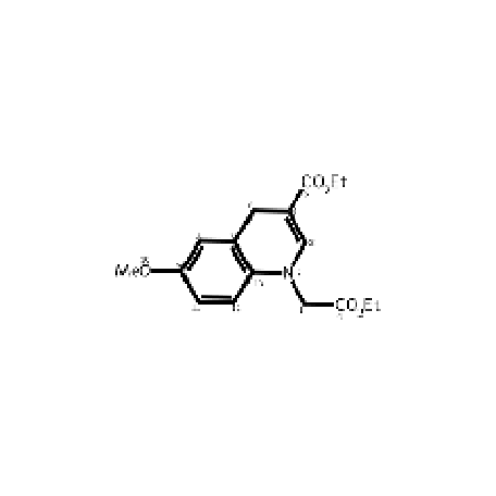 CCOC(=O)CN1C=C(C(=O)OCC)Cc2cc(OC)ccc21